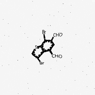 O=Cc1cc(C=O)c2c(Br)csc2c1Br